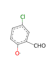 [O]c1ccc(Cl)cc1C=O